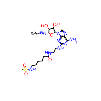 CCCNC[C@H]1O[C@@H](n2cnc3c(N)nc(NCCNC(=O)CCCCCNS(C)(=O)=O)nc32)[C@H](O)[C@@H]1O